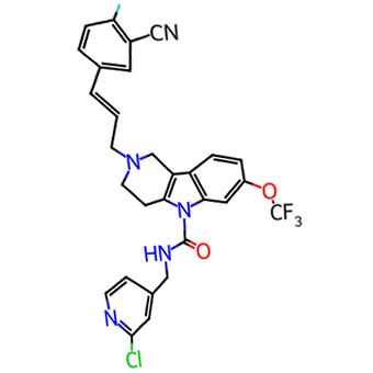 N#Cc1cc(/C=C/CN2CCc3c(c4ccc(OC(F)(F)F)cc4n3C(=O)NCc3ccnc(Cl)c3)C2)ccc1F